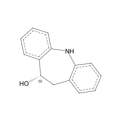 O[C@H]1Cc2ccccc2Nc2ccccc21